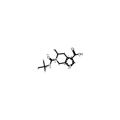 CC1Cc2c(C(=O)O)csc2CN1C(=O)OC(C)(C)C